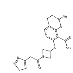 O=C(O)c1c(OC2CN(C(=O)CC3=CCN=N3)C2)ccc2c1OB(O)CC2